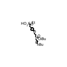 CCCCOCCN(CCCOc1ccc(CC(OCC)C(=O)O)cc1)C(=O)OCC(C)C